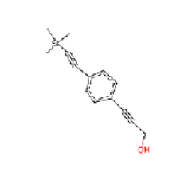 C[Si](C)(C)C#Cc1ccc(C#CCO)cc1